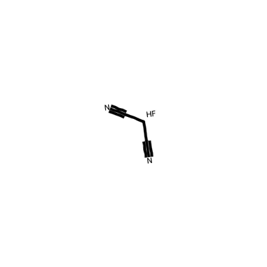 F.N#CCC#N